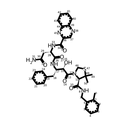 Cc1ccccc1CNC(=O)[C@H]1N(C(=O)[C@@H](O)[C@H](Cc2ccccc2)NC(=O)[C@H](CC(N)=O)NC(=O)c2cnc3ccccc3n2)CSC1(C)C